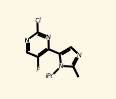 Cc1ncc(-c2nc(Cl)ncc2F)n1C(C)C